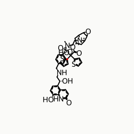 CN(CC[N+]1(C)C2CC(OC(=O)C(O)(c3cccs3)c3cccs3)CC1C1OC12)S(=O)(=O)c1ccc(CNC[C@H](O)c2ccc(O)c3[nH]c(=O)ccc23)cc1